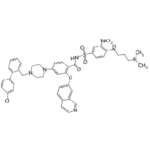 CN(C)CCCNc1ccc(S(=O)(=O)NC(=O)c2ccc(N3CCN(Cc4ccccc4-c4ccc(Cl)cc4)CC3)cc2Oc2ccc3ccncc3c2)cc1[N+](=O)[O-]